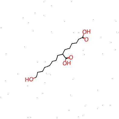 O=C(O)CCCCCC(CCCCCCCCO)C(=O)O